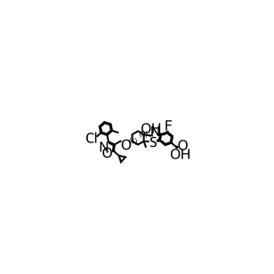 Cc1cccc(Cl)c1-c1noc(C2CC2)c1CO[C@H]1CC[C@](O)(c2nc3c(F)cc(C(=O)O)cc3s2)C(C)(C)C1